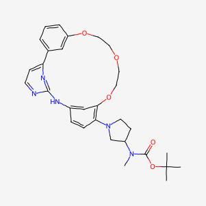 CN(C(=O)OC(C)(C)C)C1CCN(c2ccc3cc2OCCOCCOc2cccc(c2)-c2ccnc(n2)N3)C1